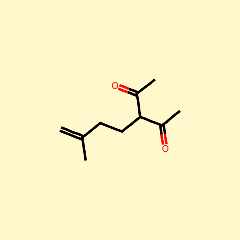 C=C(C)CCC(C(C)=O)C(C)=O